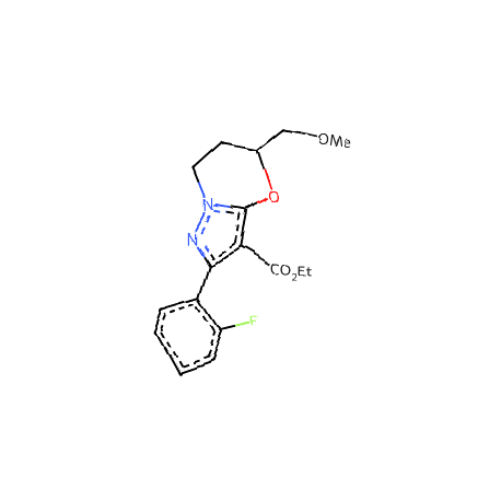 CCOC(=O)c1c(-c2ccccc2F)nn2c1OC(COC)CC2